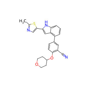 Cc1ncc(-c2cc3c(-c4ccc(OC5CCOCC5)c(C#N)c4)cccc3[nH]2)s1